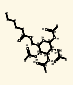 CCCCCC(=O)OC[C@H]1OC(OC(C)=O)[C@H](NC(C)=O)[C@@H](OC(C)=O)[C@@H]1OC(C)=O